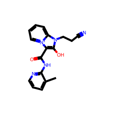 Cc1cccnc1NC(=O)c1c(O)n(CCC#N)c2cccc[n+]12